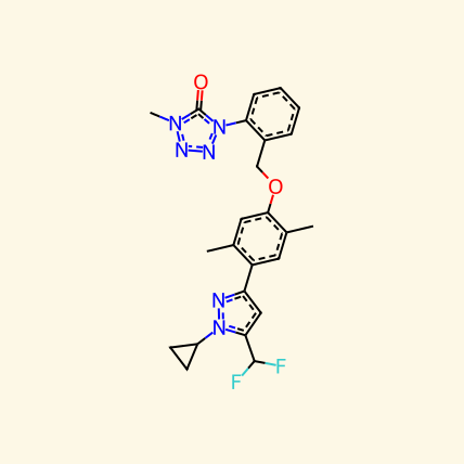 Cc1cc(-c2cc(C(F)F)n(C3CC3)n2)c(C)cc1OCc1ccccc1-n1nnn(C)c1=O